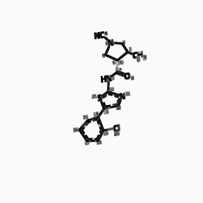 CC1CN(C#N)C[C@H]1C(=O)Nc1ncc(-c2ccccc2Cl)s1